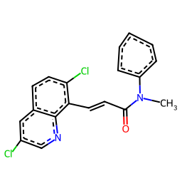 CN(C(=O)C=Cc1c(Cl)ccc2cc(Cl)cnc12)c1ccccc1